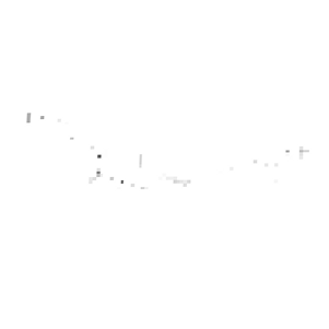 CCCNC(=O)C(C)(C)C/C=C/COCC(C)C